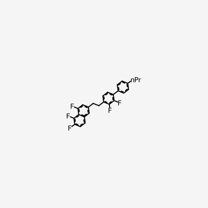 CCCc1ccc(-c2ccc(CCc3cc(F)c4c(F)c(F)ccc4c3)c(F)c2F)cc1